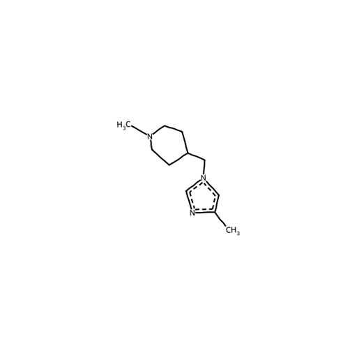 Cc1cn(CC2CCN(C)CC2)cn1